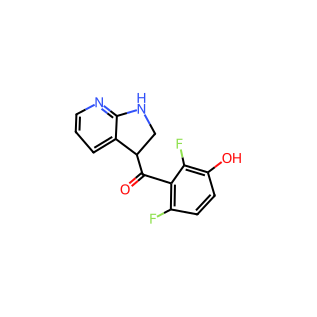 O=C(c1c(F)ccc(O)c1F)C1CNc2ncccc21